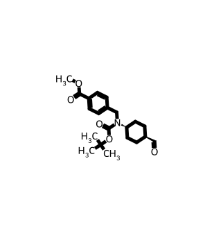 COC(=O)c1ccc(CN(C(=O)OC(C)(C)C)[C@H]2CC[C@H](C=O)CC2)cc1